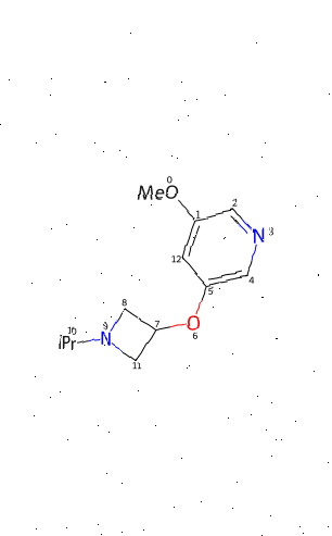 COc1cncc(OC2CN(C(C)C)C2)c1